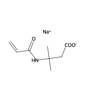 C=CC(=O)NC(C)(C)CC(=O)[O-].[Na+]